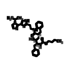 CCCCOC(=O)N[C@@H](Cc1ccccc1)[C@@H](O)C[C@@H](Cc1ccccc1)C(=O)NCCc1nc(-c2nccn2C(C)C)c[nH]1